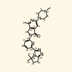 [CH2]c1nc(N2CCN(C)CC2)cc2c1CN(c1cccc(-c3nnc4n3C(C)(C)CC4)n1)C2=O